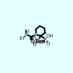 CCN(CC)C(=N)N1CCC[C]C1(P(=O)(O)O)P(=O)(O)O